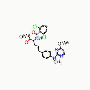 COC(=O)C(CC=Cc1ccc(N(C)c2nccc(OC)n2)cc1)NC(=O)c1c(Cl)cccc1Cl